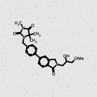 COCC(O)CN1Cc2cc(-c3ccc(CN4C(=O)N(C)C(=O)C4(C)C)cc3)ccc2C1=O